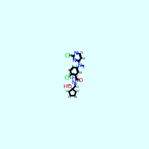 CN(c1ccc(Cl)c(C(=O)NCC2(O)CCCC2)c1)c1ccnc(Cl)n1